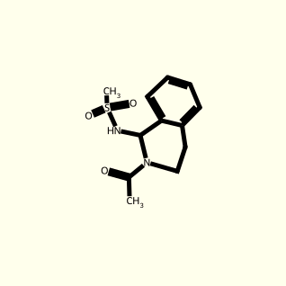 CC(=O)N1CCc2ccccc2C1NS(C)(=O)=O